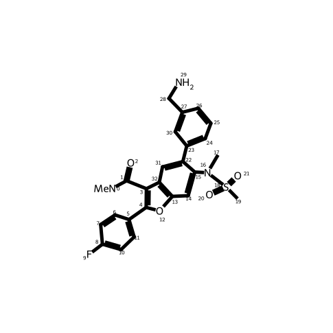 CNC(=O)c1c(-c2ccc(F)cc2)oc2cc(N(C)S(C)(=O)=O)c(-c3cccc(CN)c3)cc12